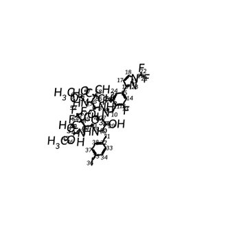 COC(=O)N[C@H](C(=O)NN(Cc1c(F)cc(-c2ccn(C(F)F)n2)cc1F)C[C@H](O)[C@H](Cc1ccc(I)cc1)NC(=O)[C@@H](NC(=O)OC)C(C)(C)C(F)(F)F)C(C)(C)C